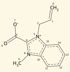 C=CC[n+]1c(C(=O)[O-])n(C)c2ccccc21